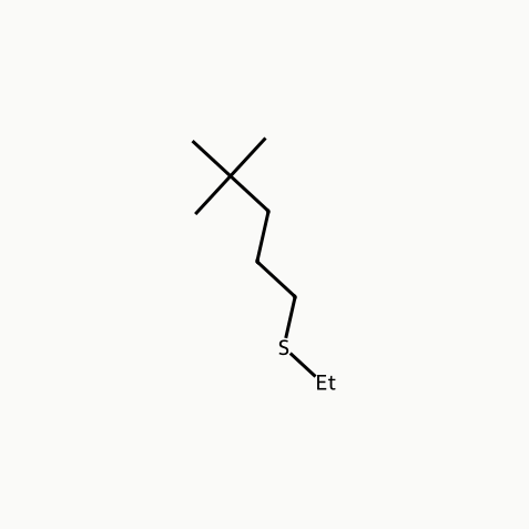 CCSCCCC(C)(C)C